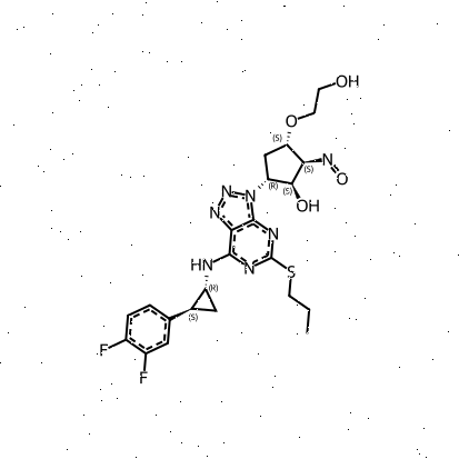 CCCSc1nc(N[C@@H]2C[C@H]2c2ccc(F)c(F)c2)c2nnn([C@@H]3C[C@H](OCCO)[C@@H](N=O)[C@H]3O)c2n1